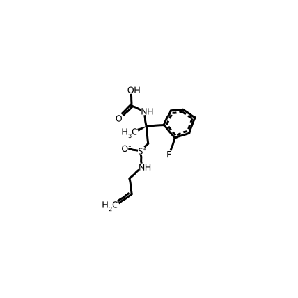 C=CCN[S+]([O-])C[C@](C)(NC(=O)O)c1ccccc1F